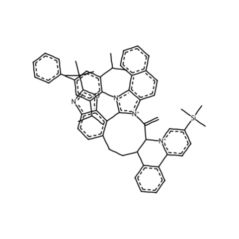 C=C1C2C(CCc3ccc4nc(C(C)(C)C)oc4c3-c3n(-c4c(C(C)C)cc(-c5ccccc5)cc4C(C)C)c4c5ccccc5ccc4[n+]31)c1ccccc1-c1ccc([Si](C)(C)C)c[n+]12